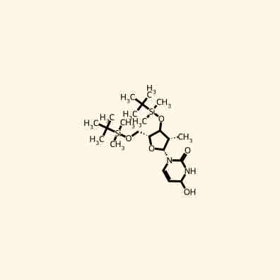 C[C@H]1C(O[Si](C)(C)C(C)(C)C)[C@@H](CO[Si](C)(C)C(C)(C)C)O[C@H]1N1C=CC(O)NC1=O